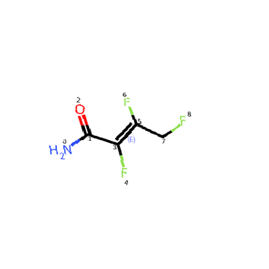 NC(=O)/C(F)=C(\F)CF